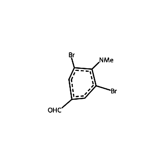 CNc1c(Br)cc(C=O)cc1Br